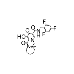 C[C@@]12CCCCCN1C(=O)c1c(O)c(=O)c(C(=O)NCc3c(F)cc(F)cc3F)cn1C2